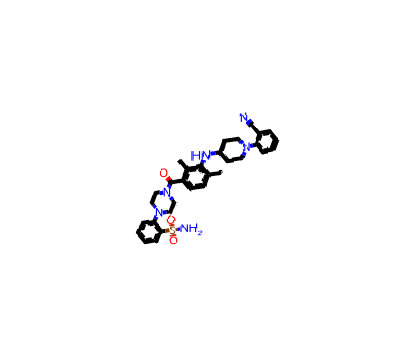 Cc1ccc(C(=O)N2CCN(c3ccccc3S(N)(=O)=O)CC2)c(C)c1NC1CCN(c2cc#ccc2C#N)CC1